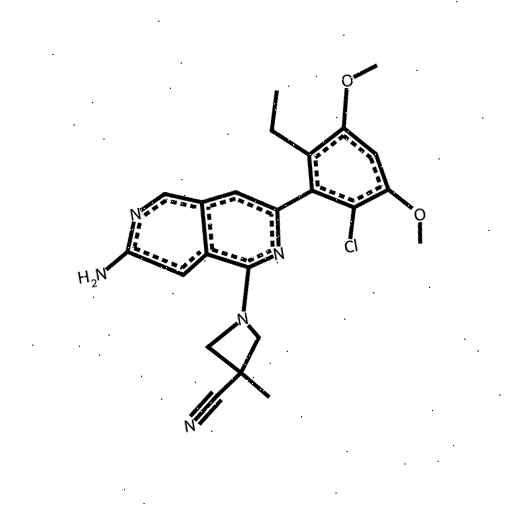 CCc1c(OC)cc(OC)c(Cl)c1-c1cc2cnc(N)cc2c(N2CC(C)(C#N)C2)n1